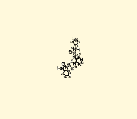 Cn1c(C(=O)NCc2ccncc2)nc2c(N3CCC(n4c(=O)[nH]c5ccccc54)CC3)ncnc21